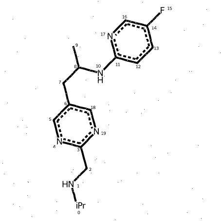 CC(C)NCc1ncc(CC(C)Nc2ccc(F)cn2)cn1